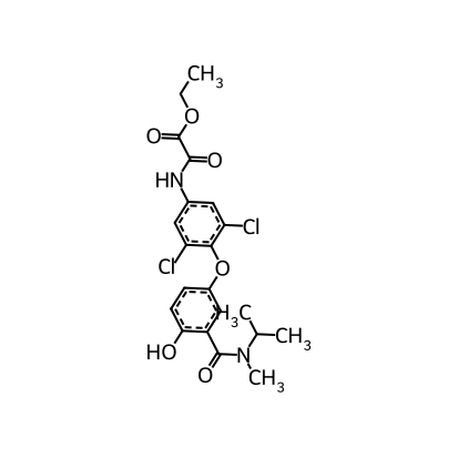 CCOC(=O)C(=O)Nc1cc(Cl)c(Oc2ccc(O)c(C(=O)N(C)C(C)C)c2)c(Cl)c1